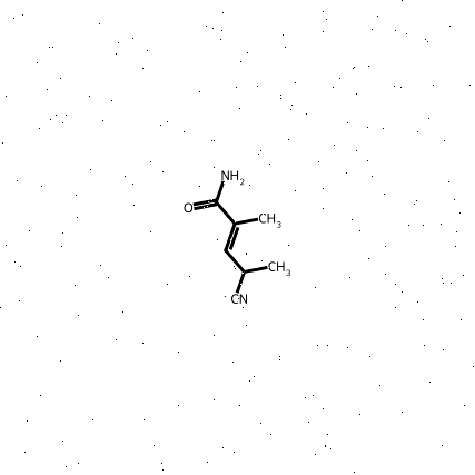 C/C(=C\C(C)C#N)C(N)=O